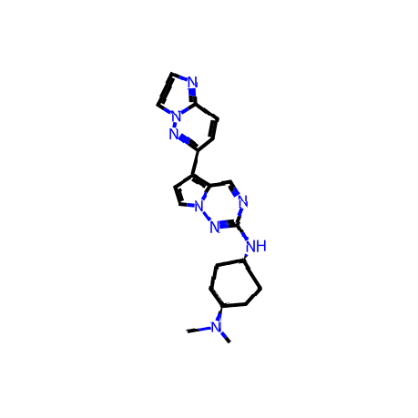 CN(C)[C@H]1CC[C@H](Nc2ncc3c(-c4ccc5nccn5n4)ccn3n2)CC1